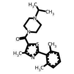 Cc1cccc(C)c1-c1nc(C)c(C(=O)N2CCN(C(C)C)CC2)s1